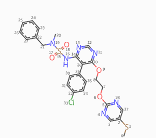 CSc1cnc(OCCOc2ncnc(NS(=O)(=O)N(C)Cc3ccccc3)c2-c2ccc(Cl)cc2)nc1